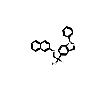 OC(COc1ccc2ccccc2c1)(c1ccc2c(cnn2-c2ccccc2)c1)C(F)(F)F